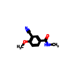 CNC(=O)c1ccc(OC)c(C#N)c1